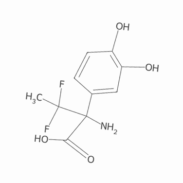 CC(F)(F)C(N)(C(=O)O)c1ccc(O)c(O)c1